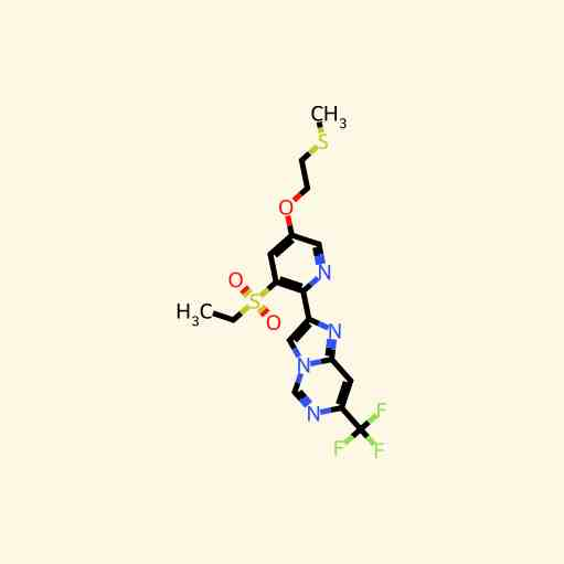 CCS(=O)(=O)c1cc(OCCSC)cnc1-c1cn2cnc(C(F)(F)F)cc2n1